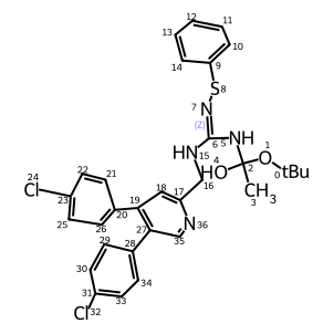 CC(C)(C)OC(C)(O)N/C(=N\Sc1ccccc1)NCc1cc(-c2ccc(Cl)cc2)c(-c2ccc(Cl)cc2)cn1